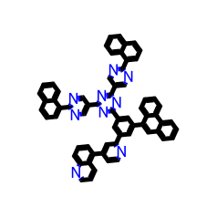 c1ccc2c(-c3ncc(-c4nc(-c5cnc(-c6cccc7ccccc67)nc5)nc(-c5cc(-c6cc(-c7cccc8ncccc78)ccn6)cc(-c6cc7ccccc7c7ccccc67)c5)n4)cn3)cccc2c1